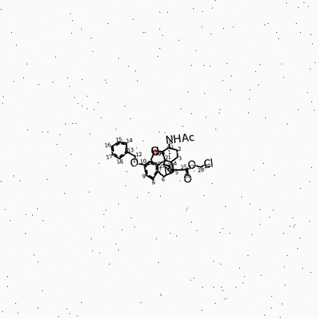 CC(=O)N[C@H]1CCC2C3Cc4ccc(OCc5ccccc5)c5c4C2(CCN3C(=O)OCCl)[C@H]1O5